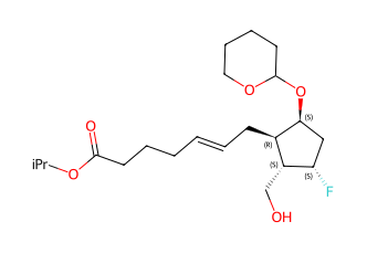 CC(C)OC(=O)CCCC=CC[C@@H]1[C@@H](CO)[C@@H](F)C[C@@H]1OC1CCCCO1